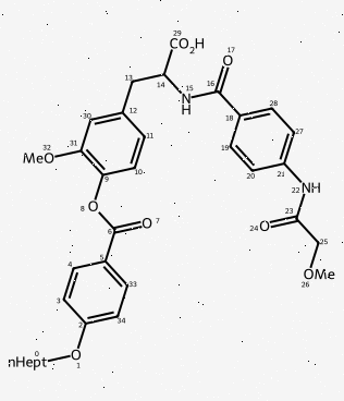 CCCCCCCOc1ccc(C(=O)Oc2ccc(CC(NC(=O)c3ccc(NC(=O)COC)cc3)C(=O)O)cc2OC)cc1